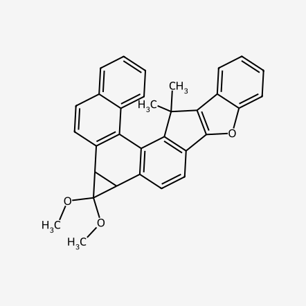 COC1(OC)C2c3ccc4c(c3-c3c(ccc5ccccc35)C21)C(C)(C)c1c-4oc2ccccc12